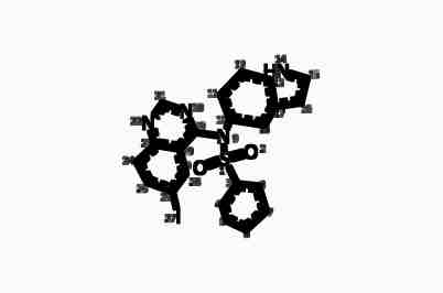 O=S(=O)(c1ccccc1)N(c1ccc2[nH]ccc2c1)c1ncnc2ccc(I)cc12